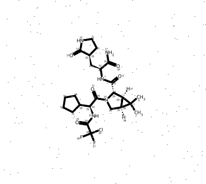 CC1(C)[C@@H]2[C@@H](C(=O)N[C@@H](C[C@@H]3CCNC3=O)C(N)=O)N(C(=O)[C@@H](NC(=O)C(F)(F)Cl)C3CCCC3)C[C@@H]21